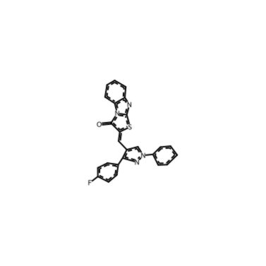 O=c1/c(=C/c2cn(-c3ccccc3)nc2-c2ccc(F)cc2)sc2nc3ccccc3n12